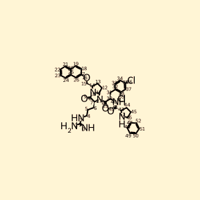 N=C(N)NCCC[C@H]1C(=O)N2C(CC[C@@H]2COc2ccc3ccccc3c2)N1C(=O)[C@@H](Cc1ccc(Cl)cc1Cl)NC(=O)[C@@H]1CC[C@H](c2ccccc2)N1